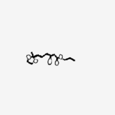 CCCOC(=O)CC(=O)CCCC1(C)OCCO1